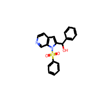 O=S(=O)(c1ccccc1)n1c(C(O)c2ccccc2)cc2ccncc21